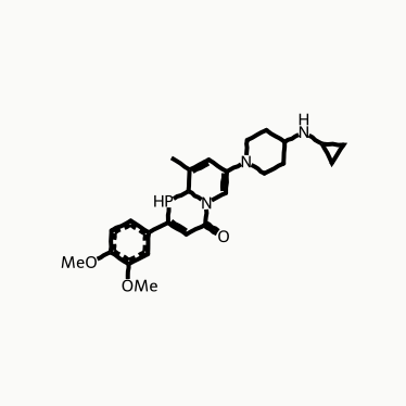 COc1ccc(C2=CC(=O)N3C=C(N4CCC(NC5CC5)CC4)C=C(C)C3P2)cc1OC